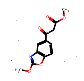 COC(=O)CC(=O)c1ccc2oc(OC)nc2c1